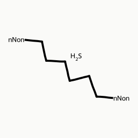 CCCCCCCCCCCCCCCCCCCCCCCC.S